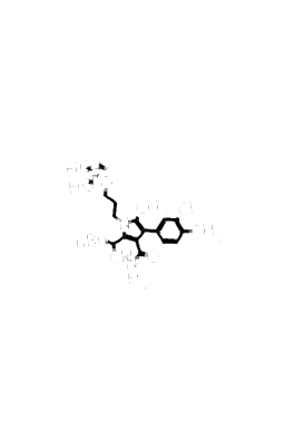 CCCCC(C)c1c(C(N)=O)c(-c2ccc(C)c(Cl)c2)c(C)n1CCCOP(=O)(O)O